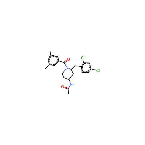 CC(=O)NC1CCN(C(=O)c2cc(C)cc(C)c2)C(Cc2ccc(Cl)cc2Cl)C1